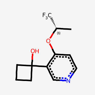 C[C@H](Oc1ccncc1C1(O)CCC1)C(F)(F)F